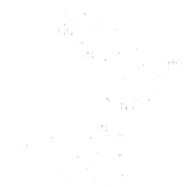 CC1(C)CCC(c2ccc(Cl)cc2)=C(CN2CCN(c3ccc(C=O)c(Cc4cnc5[nH]ccc5c4)c3)CC2)C1